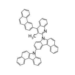 Cc1c(-n2c3ccc(-n4c5ccccc5c5c6ccccc6ccc54)cc3c3c4ccccc4ccc32)nc2ccccc2c1-c1ccc2ccc3ccccc3c2c1